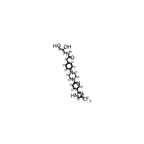 CN(C[C@@H](O)CO)C(=O)Cc1ccc(N2CCN(c3ccc(-c4nc(C(F)(F)F)c[nH]4)cn3)CC2)cc1